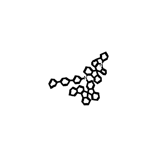 c1ccc(-c2ccc(-c3ccc(N(c4ccc5c(c4)C4(c6ccccc6-5)c5ccccc5-c5c4ccc4ccccc54)c4cccc5c4-c4ccccc4C54c5ccccc5-n5c6ccccc6c6cccc4c65)cc3)cc2)cc1